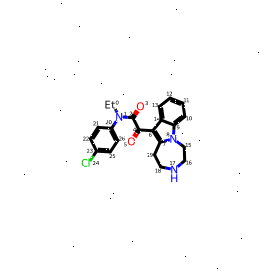 CCN(C(=O)C(=O)c1c2n(c3ccccc13)CCNCC2)c1ccc(Cl)cc1